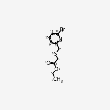 CCOC(=O)CSCc1cccc(Br)n1